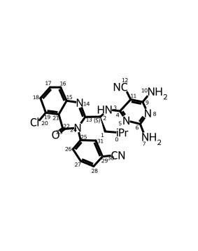 CC(C)C[C@H](Nc1nc(N)nc(N)c1C#N)c1nc2cccc(Cl)c2c(=O)n1-c1cccc(C#N)c1